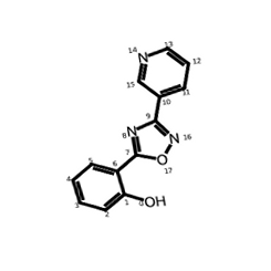 Oc1ccccc1-c1nc(-c2cccnc2)no1